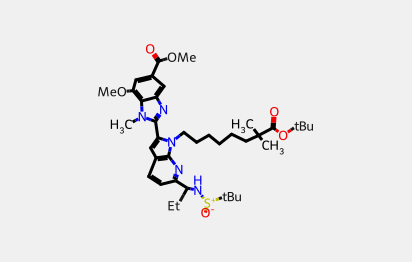 CCC(N[S+]([O-])C(C)(C)C)c1ccc2cc(-c3nc4cc(C(=O)OC)cc(OC)c4n3C)n(CCCCCCC(C)(C)C(=O)OC(C)(C)C)c2n1